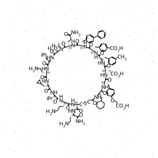 Cc1cccc(C[C@@H]2NC(=O)[C@H](CC(=O)O)NC(=O)[C@H](Cc3ccc(OCC(=O)O)cc3)NC(=O)[C@H](CC3CCCCC3)NC(=O)CSC[C@@H](C(=O)N[C@@H](CCN)C(N)=O)NC(=O)[C@H](CCCN)NC(=O)[C@H](C(C)C)NC(=O)[C@H](CC3CC3)NC(=O)[C@H](CCN)NC(=O)[C@@H](CC(C)C)NC(=O)[C@H](C)N(C)C(=O)[C@H](CCC(N)=O)NC(=O)[C@H](Cc3ccc(-c4ccccc4)cc3)NC(=O)[C@H](Cc3ccc(C(=O)O)cc3)NC2=O)c1